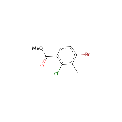 COC(=O)c1ccc(Br)c(C)c1Cl